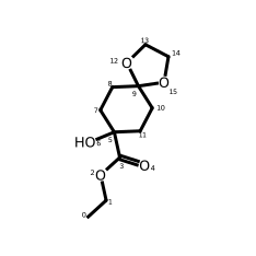 CCOC(=O)C1(O)CCC2(CC1)OCCO2